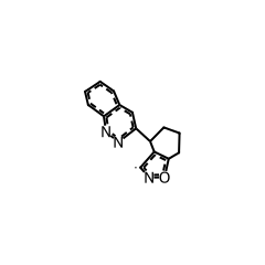 [c]1noc2c1C(c1cc3ccccc3nn1)CCC2